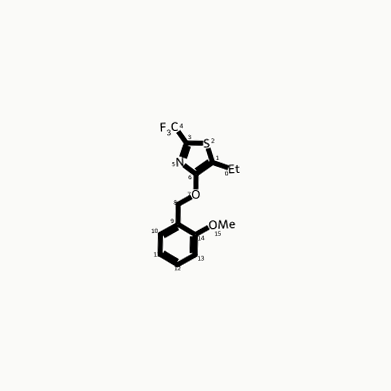 CCc1sc(C(F)(F)F)nc1OCc1ccccc1OC